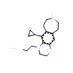 COCCN1CCOc2cc3c(c(C4CC4)c21)CCNCC3